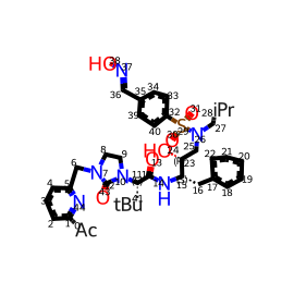 CC(=O)c1cccc(CN2CCN([C@H](C(=O)N[C@@H](Cc3ccccc3)[C@H](O)CN(CC(C)C)S(=O)(=O)c3ccc(C=NO)cc3)C(C)(C)C)C2=O)n1